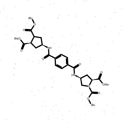 COC(=O)[C@@H]1C[C@H](NC(=O)c2ccc(C(=O)N[C@H]3C[C@@H](C(=O)OC)N(C(=O)OC(C)(C)C)C3)cc2)CC1C(=O)OC(C)(C)C